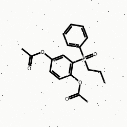 CCCP(=O)(c1ccccc1)c1cc(OC(C)=O)ccc1OC(C)=O